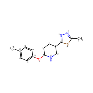 Cc1nnc(C2CCC(Oc3ccc(C(F)(F)F)cc3)NC2)s1